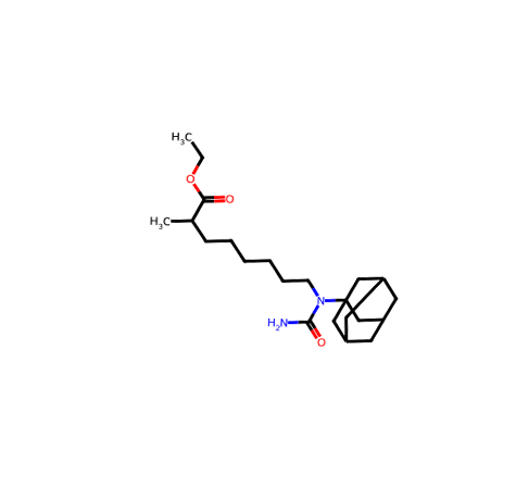 CCOC(=O)C(C)CCCCCCN(C(N)=O)C12CC3CC(CC(C3)C1)C2